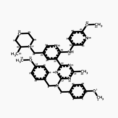 COc1ccc(CN(Cc2ccc(OC)cc2)c2nc(C)nc(-c3cc(CN4CCOCC4C)cnc3Nc3ccc(OC)nc3)n2)cc1